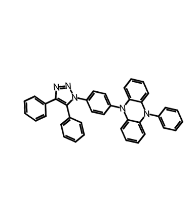 c1ccc(-c2nnn(-c3ccc(N4c5ccccc5N(c5ccccc5)c5ccccc54)cc3)c2-c2ccccc2)cc1